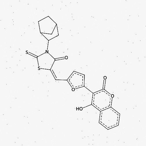 O=C1/C(=C\c2ccc(-c3c(O)c4ccccc4oc3=O)o2)SC(=S)N1C1CC2CCC1C2